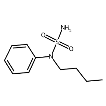 CCCCN(c1ccccc1)S(N)(=O)=O